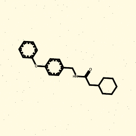 O=C(CC1CCCCC1)NCc1ccc(Oc2ccccc2)cc1